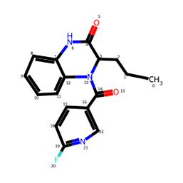 CCCC1C(=O)Nc2ccccc2N1C(=O)c1ccc(F)nc1